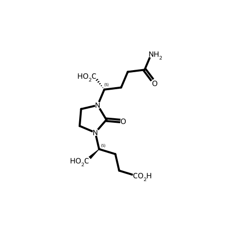 NC(=O)CC[C@@H](C(=O)O)N1CCN([C@@H](CCC(=O)O)C(=O)O)C1=O